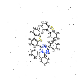 c1ccc(-c2ccccc2-c2nc(-c3cccc(-c4ccc5sc6ccccc6c5c4)c3)nc(-c3cccc4c3sc3ccccc34)n2)cc1